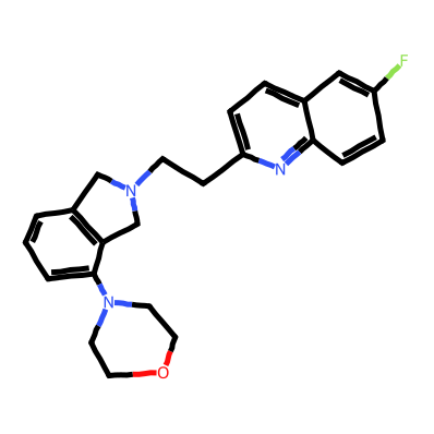 Fc1ccc2nc(CCN3Cc4cccc(N5CCOCC5)c4C3)ccc2c1